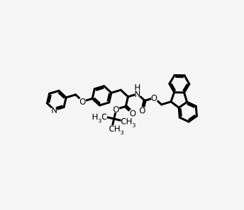 CC(C)(C)OC(=O)C(Cc1ccc(OCc2cccnc2)cc1)NC(=O)OCC1c2ccccc2-c2ccccc21